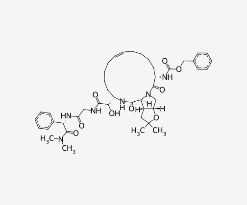 CN(C)C(=O)[C@@H](NC(=O)CNC(=O)C(O)[C@@H]1CCCCC=CCCCC[C@H](NC(=O)OCc2ccccc2)C(=O)N2C[C@@H]3OC(C)(C)C[C@@H]3[C@H]2C(=O)N1)c1ccccc1